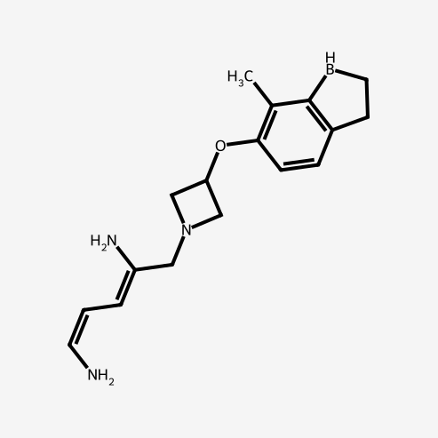 Cc1c(OC2CN(C/C(N)=C/C=C\N)C2)ccc2c1BCC2